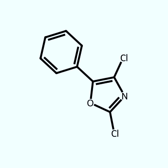 Clc1nc(Cl)c(-c2ccccc2)o1